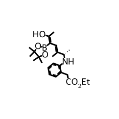 CCOC(=O)Cc1ccccc1N[C@@H](C)/C(C)=C/C(B1OC(C)(C)C(C)(C)O1)=C(\C)O